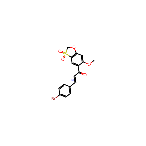 COc1cc2c(cc1C(=O)/C=C/c1ccc(Br)cc1)S(=O)(=O)CO2